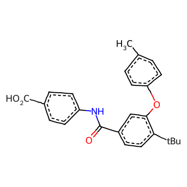 Cc1ccc(Oc2cc(C(=O)Nc3ccc(C(=O)O)cc3)ccc2C(C)(C)C)cc1